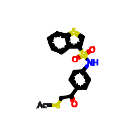 CC(=O)SCC(=O)c1ccc(NS(=O)(=O)c2csc3ccccc23)cc1